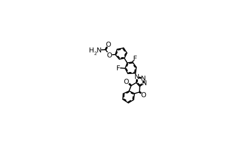 NC(=O)Oc1cccc(-c2c(F)cc(-n3nnc4c3C(=O)c3ccccc3C4=O)cc2F)c1